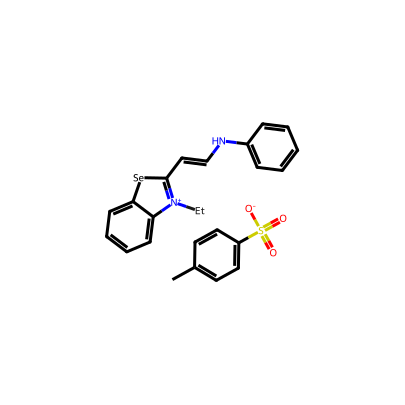 CC[n+]1c(C=CNc2ccccc2)[se]c2ccccc21.Cc1ccc(S(=O)(=O)[O-])cc1